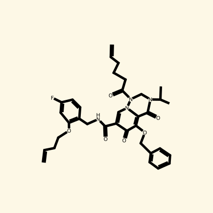 C=CCCCC(=O)N1CN(C(C)C)C(=O)c2c(OCc3ccccc3)c(=O)c(C(=O)NCc3ccc(F)cc3OCCC=C)cn21